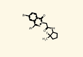 CC(C)c1nn(CC(=O)NC2CCCC2(C)F)c(=O)c2ccc(Br)cc12